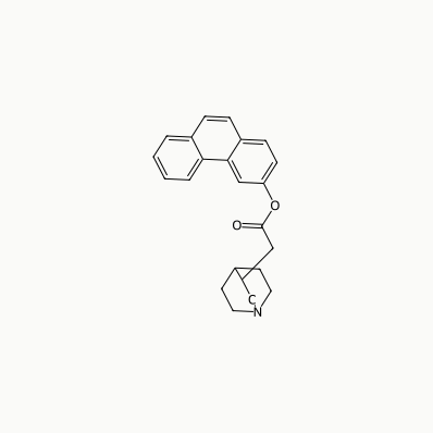 O=C(CC1CN2CCC1CC2)Oc1ccc2ccc3ccccc3c2c1